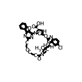 C[C@@H]1CN2CC[C@H]1n1c(nc3ccc(Cl)cc31)O[C@H]1C[C@@H](C(=O)O)N(C1)c1nc(nc3c1oc1ccccc13)CCOCCCC2=O